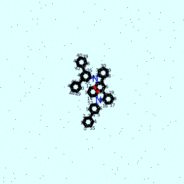 c1ccc(-c2ccc(N(c3ccccc3)c3ccccc3-c3ccc4c(c3)c3ccccc3n4-c3cc(-c4ccccc4)cc(-c4ccccc4)c3)cc2)cc1